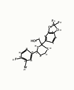 OCC1(c2ccc3c(c2)OC(F)(F)O3)SCCC(c2ccc(F)c(Br)c2)S1